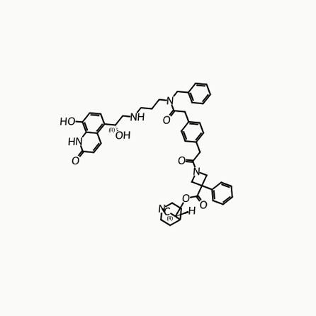 O=C(Cc1ccc(CC(=O)N2CC(C(=O)O[C@H]3CN4CCC3CC4)(c3ccccc3)C2)cc1)N(CCCNC[C@H](O)c1ccc(O)c2[nH]c(=O)ccc12)Cc1ccccc1